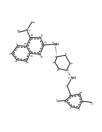 Cc1ccc(C)c(CN[C@H]2CC[C@@H](Nc3nc(N(C)C)c4ccccc4n3)CC2)c1